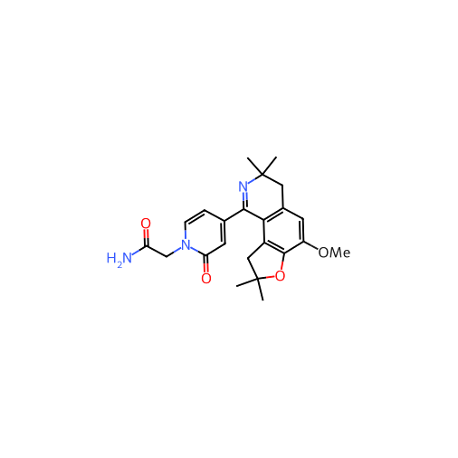 COc1cc2c(c3c1OC(C)(C)C3)C(c1ccn(CC(N)=O)c(=O)c1)=NC(C)(C)C2